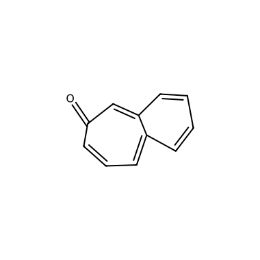 O=c1cccc2ccccc2c1